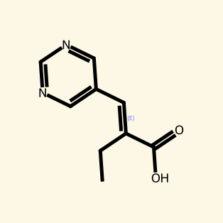 CC/C(=C\c1cncnc1)C(=O)O